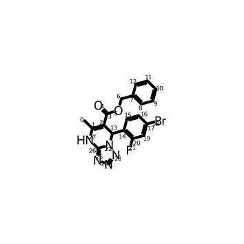 CC1=C(C(=O)OCc2ccccc2)C(c2ccc(Br)cc2F)n2nnnc2N1